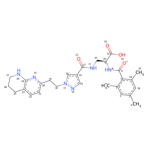 Cc1cc(C)c(C(=O)N[C@@H](CNC(=O)c2cnn(CCc3ccc4c(n3)NCCC4)c2)C(=O)O)c(C)c1